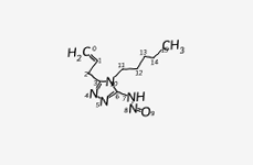 C=CCc1nnc(NN=O)n1CCCCC